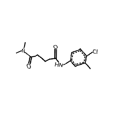 Cc1cc(NC(=O)CCC(=O)N(C)C)ccc1Cl